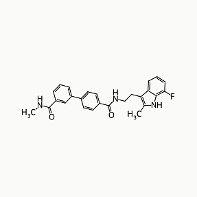 CNC(=O)c1cccc(-c2ccc(C(=O)NCCc3c(C)[nH]c4c(F)cccc34)cc2)c1